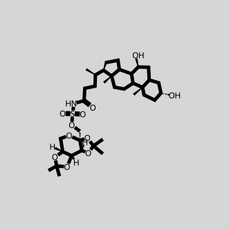 C[C@H](CCC(=O)NS(=O)(=O)OC[C@@]12OC[C@H]3OC(C)(C)O[C@H]3[C@@H]1OC(C)(C)O2)[C@H]1CCC2C3C(CC[C@@]21C)[C@@]1(C)CC[C@@H](O)CC1C[C@@H]3O